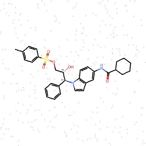 Cc1ccc(S(=O)(=O)OC[C@H](O)[C@H](c2ccccc2)n2ccc3cc(NC(=O)C4CCCCC4)ccc32)cc1